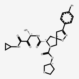 CCC[C@H](NC(=O)[C@@H]1C[C@]2(CC(c3ccc(C(C)C)cc3)=NO2)CN1C(=O)O[C@H]1CCOC1)C(=O)C(=O)NC1CC1